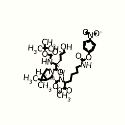 COC(=O)C(CCCCNC(=O)Oc1ccc([N+](=O)[O-])cc1)NC(=O)[C@@H]1C2[C@H](CN1C(=O)[C@H](CCCO)NC(=O)OC(C)(C)C)C2(C)C